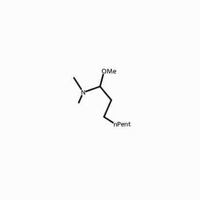 CCCCCCCC(OC)N(C)C